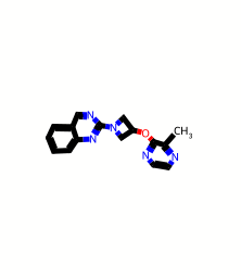 Cc1nccnc1OC1CN(c2ncc3ccccc3n2)C1